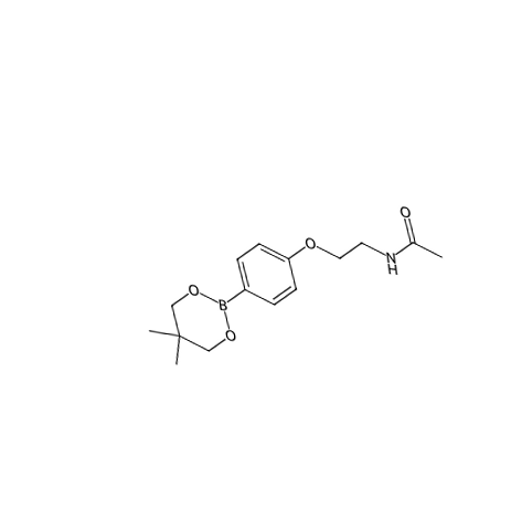 CC(=O)NCCOc1ccc(B2OCC(C)(C)CO2)cc1